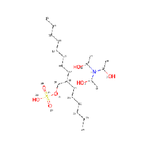 CC(O)N(C(C)O)C(C)O.CCCCCCCCC(CCCCCC)COS(=O)(=O)O